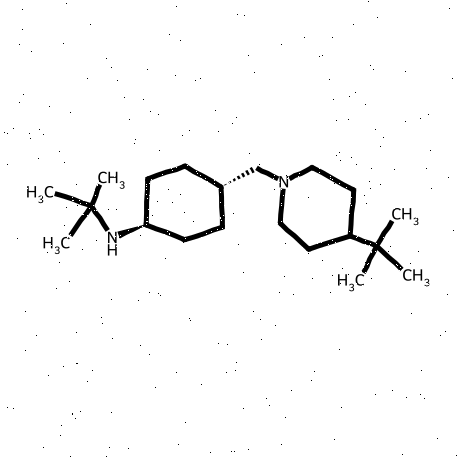 CC(C)(C)N[C@H]1CC[C@H](CN2CCC(C(C)(C)C)CC2)CC1